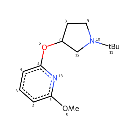 COc1cccc(OC2CCN(C(C)(C)C)C2)n1